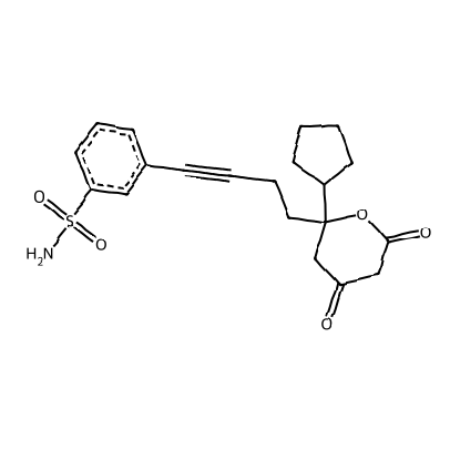 NS(=O)(=O)c1cccc(C#CCCC2(C3CCCC3)CC(=O)CC(=O)O2)c1